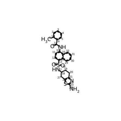 Cc1ccccc1C(=O)Nc1ccc(S(=O)(=O)NC2CCc3nc(N)sc3C2)c2ccccc12